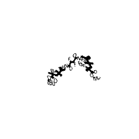 C=C(CNC(=O)C(F)C(F)C(=O)NCC(=C)C(C)(C)CC(C)(Br)C(=O)OC(C)(C)C)C(C)(C)CC(C)(Br)C(=O)OC(C)(C)C